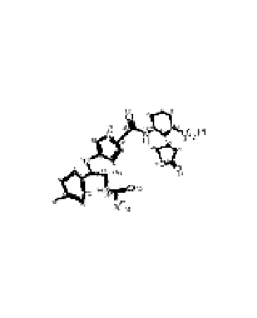 Cc1ccc([C@@H](Oc2ccc(C(=O)N[C@H]3CCCN(C(=O)O)C3[C@H]3COC(=O)C3)nc2)[C@H](C)NC(=O)C(F)(F)F)cc1